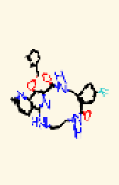 O=C1NCCCNc2nc(c(OCc3ccccc3)c3ncccc23)C(=O)NCc2ccc(F)cc21